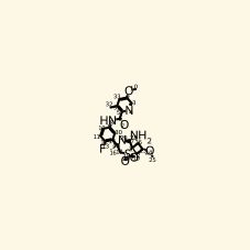 COc1cnc(C(=O)Nc2ccc(F)c([C@]3(C)CS(=O)(=O)[C@]4(C[C@H](OC)C4)C(N)=N3)c2)c(C)c1